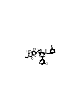 CCNC(=O)[C@H]1O[C@@H](n2cnc3c(NCc4cccc(F)c4)nc(-c4cncc(Cl)c4)nc32)[C@H](O)[C@@H]1O